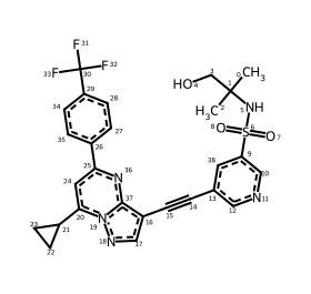 CC(C)(CO)NS(=O)(=O)c1cncc(C#Cc2cnn3c(C4CC4)cc(-c4ccc(C(F)(F)F)cc4)nc23)c1